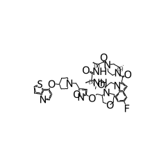 CN[C@@H](C)C(=O)N[C@@H](C)C(=O)N1CCN(C(=O)c2cc3cc(F)ccc3n2CC(=O)N2CCOCC2COc2cc(CN3CCC(Oc4ccnc5ccsc45)CC3)on2)[C@@H](C)C1